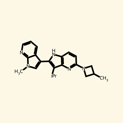 CC1CN(c2ccc3[nH]c(-c4cn(C)c5ncccc45)c(C(C)C)c3n2)C1